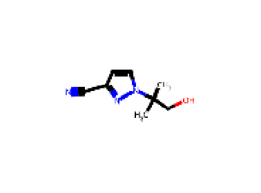 CC(C)(CO)n1ccc(C#N)n1